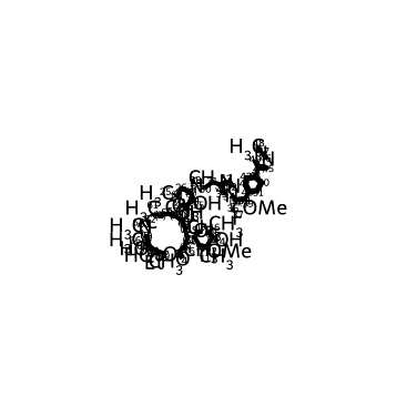 CC[C@H]1OC(=O)[C@H](C)[C@@H](C2C[C@@](C)(OC)[C@@H](O)[C@H](C)O2)[C@H](C)[C@@H](O[C@@H]2O[C@H](C)C[C@H](N(C)CCc3cn([C@H](CF)[C@H](OC)c4ccc(-c5cnn(C)c5)cc4)nn3)[C@H]2O)[C@](C)(O)C[C@@H](C)CN(C)[C@H](C)[C@@H](O)[C@]1(C)O